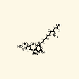 NC(CC(=O)O)C(=O)NCCCCNc1nc(S)c2ncn([C@@H]3O[C@H](CO)[C@H](O)C3O)c2n1